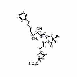 CC(CCCCc1ccccc1)[C@H](O)/C=C/C1CC(F)(F)C(=O)N1CCCc1ccc(C(=O)O)s1